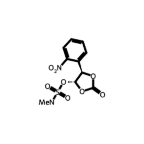 CNS(=O)(=O)O[C@H]1OC(=O)O[C@@H]1c1ccccc1[N+](=O)[O-]